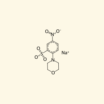 O=[N+]([O-])c1ccc(N2CCOCC2)c(S(=O)(=O)[O-])c1.[Na+]